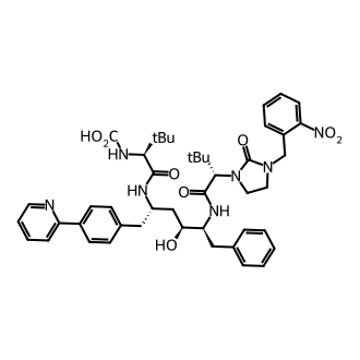 CC(C)(C)[C@H](NC(=O)O)C(=O)N[C@@H](Cc1ccc(-c2ccccn2)cc1)C[C@H](O)[C@H](Cc1ccccc1)NC(=O)[C@@H](N1CCN(Cc2ccccc2[N+](=O)[O-])C1=O)C(C)(C)C